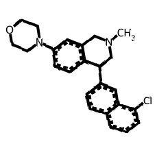 CN1Cc2cc(N3CCOCC3)ccc2C(c2ccc3cccc(Cl)c3c2)C1